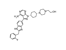 Nc1ncnc2c1c(-c1ccc3[nH]c(Cc4ccccc4F)nc3c1)nn2[C@H]1CC[C@@H](N2CCN(CCO)CC2)CC1